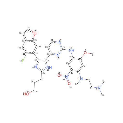 COc1cc(N(C)CCN(C)C)c([N+](=O)[O-])cc1Nc1nccc(-c2[nH]c(CCCO)nc2-c2cc3occc3cc2F)n1